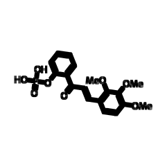 COc1ccc(C=CC(=O)c2ccccc2OP(=O)(O)O)c(OC)c1OC